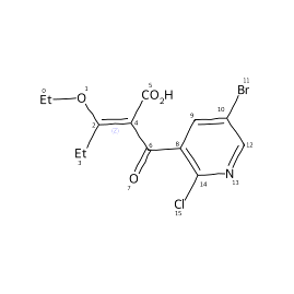 CCO/C(CC)=C(\C(=O)O)C(=O)c1cc(Br)cnc1Cl